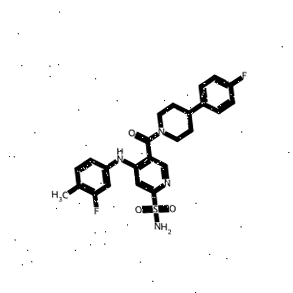 Cc1ccc(Nc2cc(S(N)(=O)=O)ncc2C(=O)N2CCC(c3ccc(F)cc3)CC2)cc1F